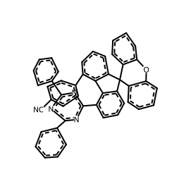 N#Cc1ccc(-c2cccc3c2-c2c(-c4nc(-c5ccccc5)nc(-c5ccccc5)n4)cccc2C32c3ccccc3Oc3ccccc32)cc1